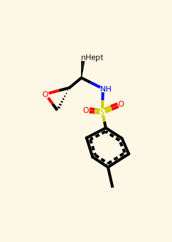 CCCCCCC[C@@H](NS(=O)(=O)c1ccc(C)cc1)[C@@H]1CO1